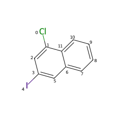 Clc1cc(I)cc2ccccc12